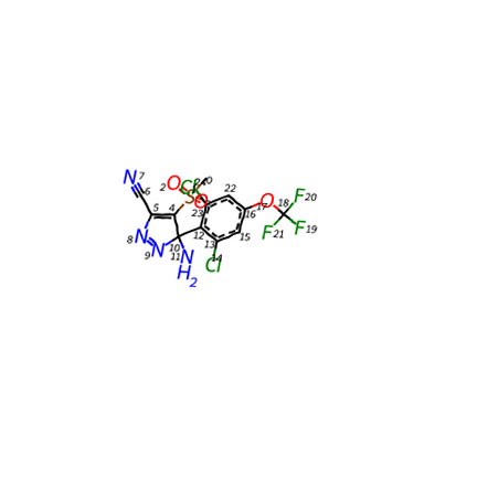 CS(=O)(=O)C1=C(C#N)N=NC1(N)c1c(Cl)cc(OC(F)(F)F)cc1Cl